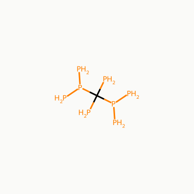 PP(P)C(P)(P)P(P)P